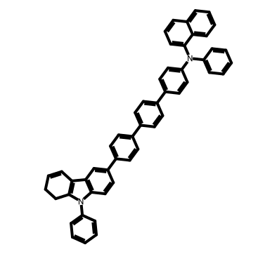 C1=Cc2c(n(-c3ccccc3)c3ccc(-c4ccc(-c5ccc(-c6ccc(N(c7ccccc7)c7cccc8ccccc78)cc6)cc5)cc4)cc23)CC1